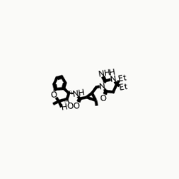 CCC1(CC)CC(=O)N(CC2C(C)C2C(=O)N[C@@H]2c3ccccc3OC(C)(C)[C@H]2O)C(=N)N1